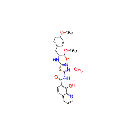 CC(C)(C)OC(=O)[C@H](Cc1ccc(OC(C)(C)C)cc1)Nc1nnc(NC(=O)c2ccc3cccnc3c2O)s1.O